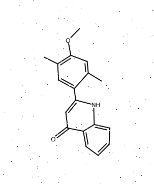 COc1cc(C)c(-c2cc(=O)c3ccccc3[nH]2)cc1C